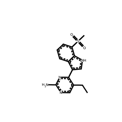 CCc1cnc(N)nc1-c1c[nH]c2c(S(C)(=O)=O)cccc12